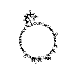 CC1CCOC(=O)C/C=C\CCCCCCCCC(OC(=O)CC(C)(C)CC(C)(C)CN(C)C)CCCCCCCC/C=C\CC(=O)OCC(C)(C)CC(C)(N)COP(=O)(O)OCC(C)C1